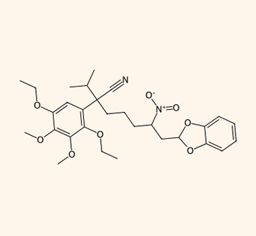 CCOc1cc(C(C#N)(CCCC(CC2Oc3ccccc3O2)[N+](=O)[O-])C(C)C)c(OCC)c(OC)c1OC